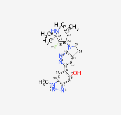 Cn1nnc2cc(O)c(-c3cc4c(nn3)N([C@H]3CC(C)(C)NC(C)(C)[C@H]3F)CC4)cc21